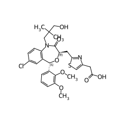 COc1cccc([C@H]2O[C@H](Cc3nc(CC(=O)O)cs3)C(=O)N(CC(C)(C)CO)c3ccc(Cl)cc32)c1OC